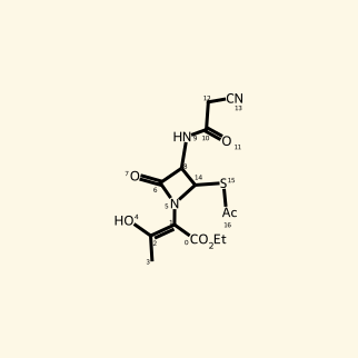 CCOC(=O)/C(=C(\C)O)N1C(=O)C(NC(=O)CC#N)C1SC(C)=O